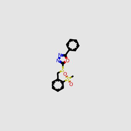 CS(=O)(=O)c1ccccc1CSc1nnc(-c2ccccc2)o1